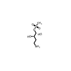 CS(=O)(=O)OC[C@H](O)CCN.Cl